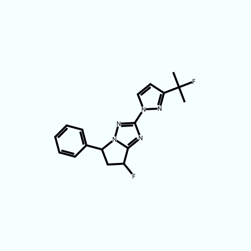 CC(C)(F)c1ccn(-c2nc3n(n2)C(c2ccccc2)CC3F)n1